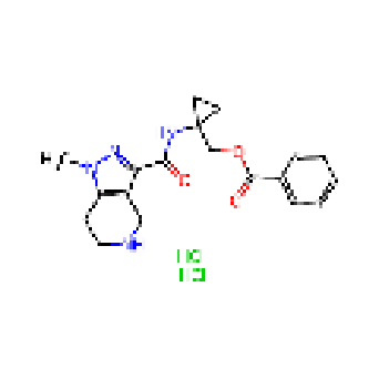 Cl.Cl.Cn1nc(C(=O)NC2(COC(=O)c3ccccc3)CC2)c2c1CCNC2